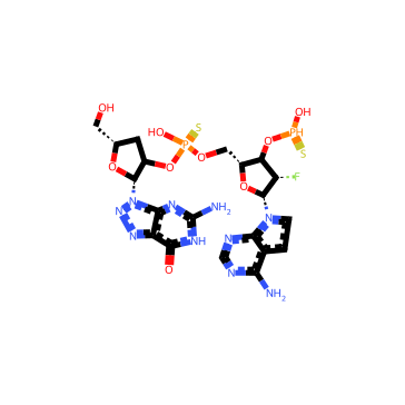 Nc1nc2c(nnn2[C@@H]2O[C@H](CO)CC2OP(O)(=S)OC[C@H]2O[C@@H](n3ccc4c(N)ncnc43)[C@@H](F)C2O[PH](O)=S)c(=O)[nH]1